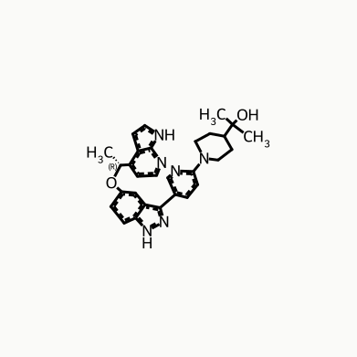 C[C@@H](Oc1ccc2[nH]nc(-c3ccc(N4CCC(C(C)(C)O)CC4)nc3)c2c1)c1ccnc2[nH]ccc12